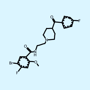 COc1cc(F)c(Br)cc1C(=O)NCCN1CCC(C(=O)c2ccc(F)cc2)CC1